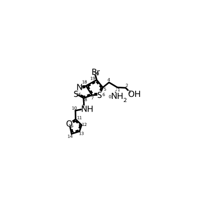 N[C@@H](CO)Cc1sc2c(NCc3ccco3)snc2c1Br